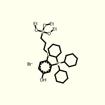 CCO[Si](CCCOc1ccc(O)cc1[P+](C1CCCCC1)(C1CCCCC1)C1CCCCC1)(OCC)OCC.[Br-]